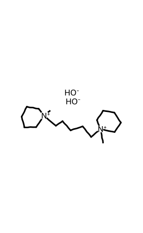 C[N+]1(CCCCC[N+]2(C)CCCCC2)CCCCC1.[OH-].[OH-]